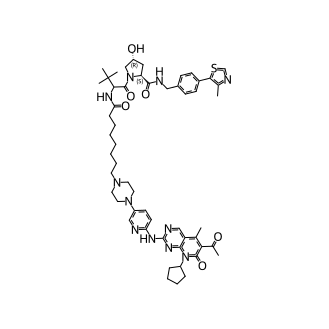 CC(=O)c1c(C)c2cnc(Nc3ccc(N4CCN(CCCCCCCC(=O)NC(C(=O)N5C[C@H](O)C[C@H]5C(=O)NCc5ccc(-c6scnc6C)cc5)C(C)(C)C)CC4)cn3)nc2n(C2CCCC2)c1=O